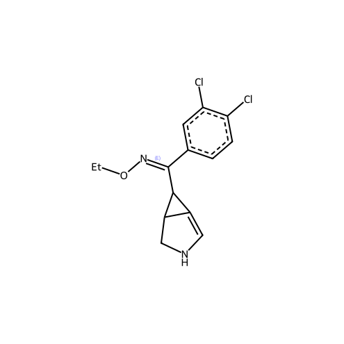 CCO/N=C(/c1ccc(Cl)c(Cl)c1)C1C2=CNCC21